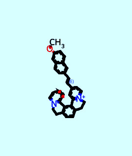 COc1ccc2cc(/C=C/c3cc[n+]4c(c3)-c3c(ccc5c3-c3c6ccccc6cc[n+]3CC5)CC4)ccc2c1